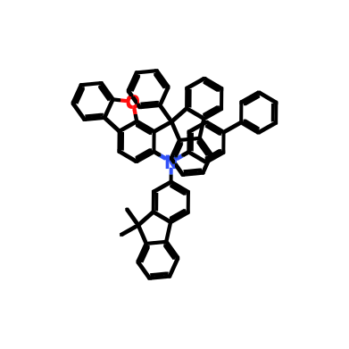 CC1(C)c2ccccc2-c2ccc(N(c3ccc(-c4ccccc4)cc3)c3ccc4c(oc5ccccc54)c3C3(c4ccccc4)c4ccccc4-c4ccccc43)cc21